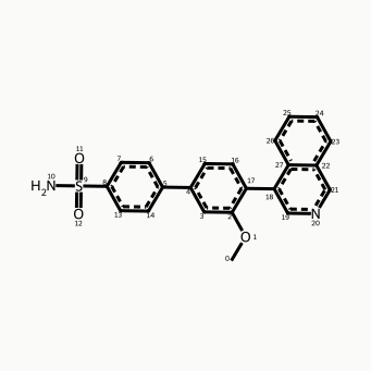 COc1cc(-c2ccc(S(N)(=O)=O)cc2)ccc1-c1cncc2ccccc12